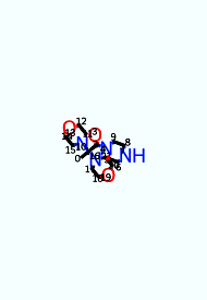 CC(C(=O)N1CCNCC1)(N1CCOCC1)N1CCOCC1